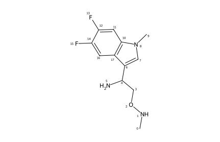 CNOCC(N)c1cn(C)c2cc(F)c(F)cc12